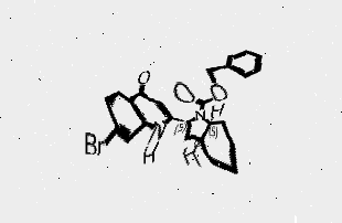 O=C(OCc1ccccc1)N1[C@H](c2cc(=O)c3ccc(Br)cc3[nH]2)C[C@@H]2CCCC[C@@H]21